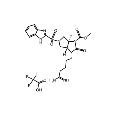 COC(=O)N1C(=O)[C@H](CCCCC(=N)N)[C@@H]2CN(S(=O)(=O)c3nc4ccccc4[nH]3)C[C@H]21.O=C(O)C(F)(F)F